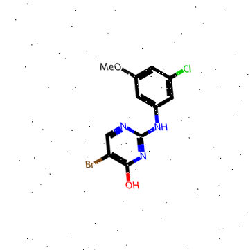 COc1cc(Cl)cc(Nc2ncc(Br)c(O)n2)c1